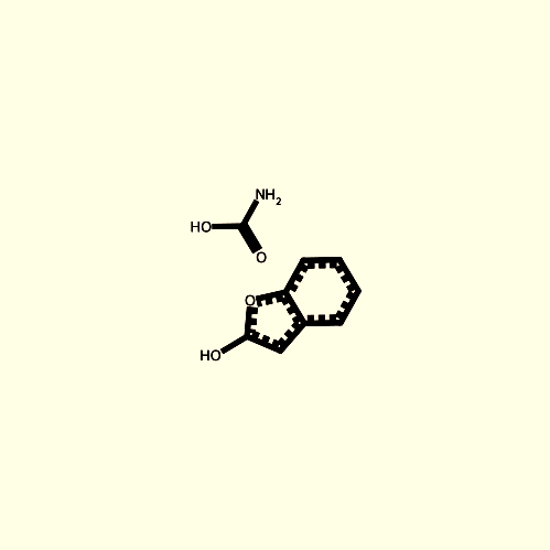 NC(=O)O.Oc1cc2ccccc2o1